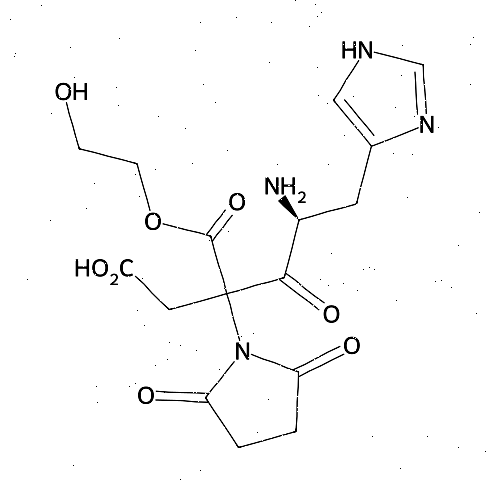 N[C@@H](Cc1c[nH]cn1)C(=O)C(CC(=O)O)(C(=O)OCCO)N1C(=O)CCC1=O